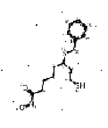 O=NC(=O)CCCCC(CCS)SCc1ccccc1